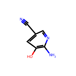 N#Cc1cnc(N)c(O)c1